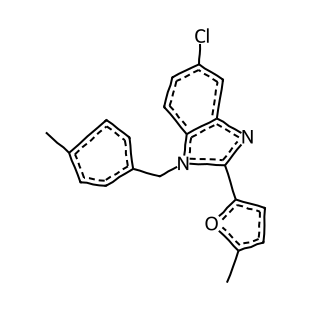 Cc1ccc(Cn2c(-c3ccc(C)o3)nc3cc(Cl)ccc32)cc1